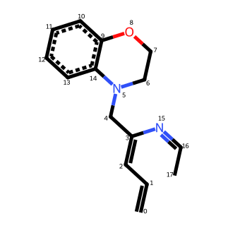 C=C/C=C(CN1CCOc2ccccc21)\N=C/C